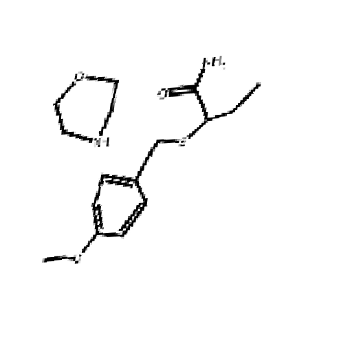 C1COCCN1.CCC(SCc1ccc(OC)cc1)C(N)=O